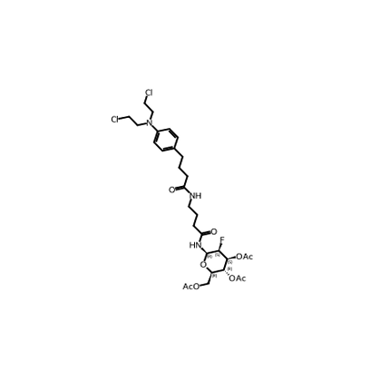 CC(=O)OC[C@H]1O[C@@H](NC(=O)CCCNC(=O)CCCc2ccc(N(CCCl)CCCl)cc2)[C@@H](F)[C@@H](OC(C)=O)[C@@H]1OC(C)=O